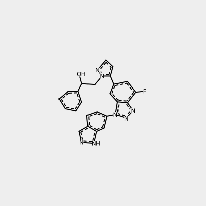 OC(Cn1nccc1-c1cc(F)c2nnn(-c3ccc4cn[nH]c4c3)c2c1)c1ccccc1